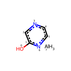 Oc1cnccn1.[AlH3]